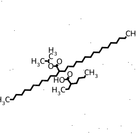 CCCCC(CC)C(=O)O.CCCCCCCCCCCCCCCCC(CCCCCCCCCCCC)C(=O)OC(C)C